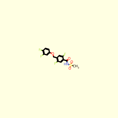 CS(=O)(=O)NC(=O)c1cc(F)c(COc2ccc(F)c(F)c2)cc1F